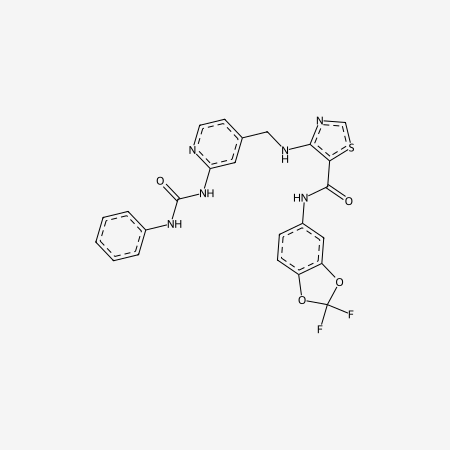 O=C(Nc1ccccc1)Nc1cc(CNc2ncsc2C(=O)Nc2ccc3c(c2)OC(F)(F)O3)ccn1